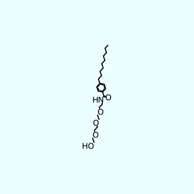 CCCCCCCCCCc1ccc(C(=O)NCCOCCOCCOCCO)cc1